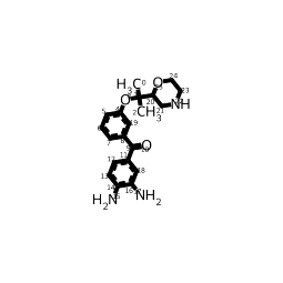 CC(C)(Oc1cccc(C(=O)c2ccc(N)c(N)c2)c1)C1CNCCO1